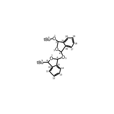 CC(C)(C)OC1OC(OC2OC(C(C)(C)C)c3ccccc32)c2ccccc21